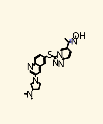 C/C(=N\O)c1ccc2nnc(Sc3ccc4ncc(N5CCC(N(C)C)C5)cc4c3)n2c1